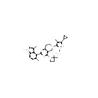 COC1(C)CCN1c1nc(-c2c(C)ccc3[nH]nc(C)c23)nc2c1CN(c1c(Cl)c(C3CC3)nn1C)CC2